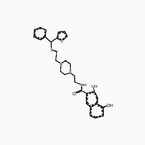 O=C(NCCN1CCN(CCSC(c2ccccc2)c2cccs2)CC1)c1cc2cccc(O)c2cc1O